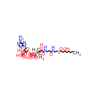 CCCCCC(O)CC(=O)SCCNC(=O)CCNC(=O)[C@H](O)C(C)(C)COP(=O)(O)OP(=O)(O)OC[C@H]1O[C@H](n2cnc3c(N)ncnc32)[C@H](O)[C@@H]1OP(=O)(O)O